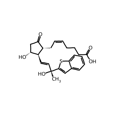 C[C@@](O)(/C=C/[C@H]1[C@H](O)CC(=O)[C@@H]1C/C=C\CCCC(=O)O)c1cc2ccccc2s1